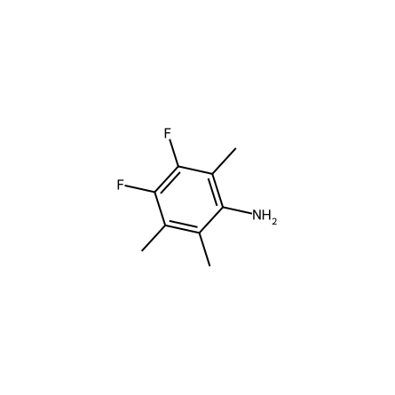 Cc1c(C)c(F)c(F)c(C)c1N